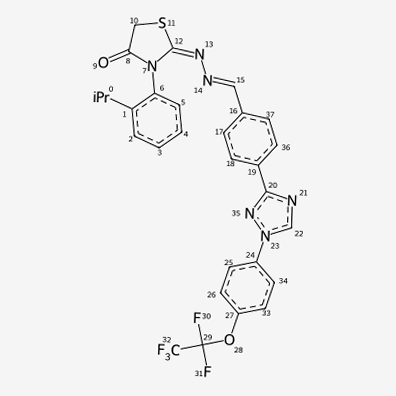 CC(C)c1ccccc1N1C(=O)CS/C1=N/N=C/c1ccc(-c2ncn(-c3ccc(OC(F)(F)C(F)(F)F)cc3)n2)cc1